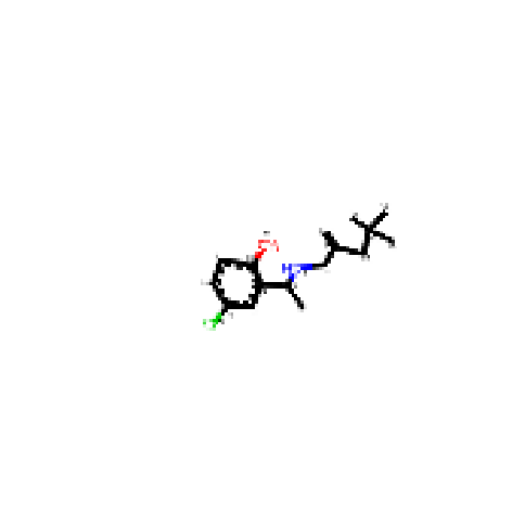 C=C(CNC(C)c1cc(Cl)ccc1O)CC(C)(C)C